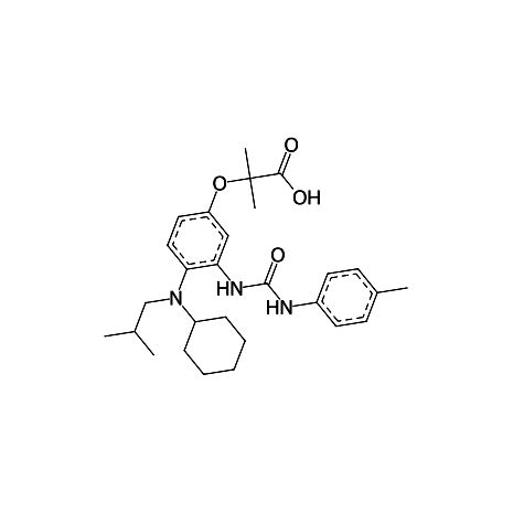 Cc1ccc(NC(=O)Nc2cc(OC(C)(C)C(=O)O)ccc2N(CC(C)C)C2CCCCC2)cc1